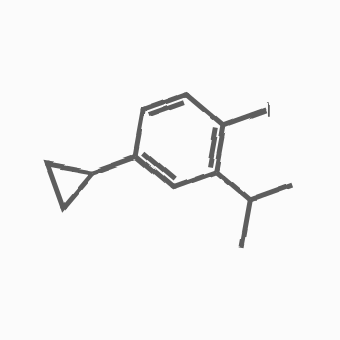 C[C](C)c1cc(C2CC2)ccc1I